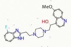 COc1ccc2nccc([C@@H](O)CN3CCN(CCc4nc5c(F)cccc5[nH]4)CC3)c2c1